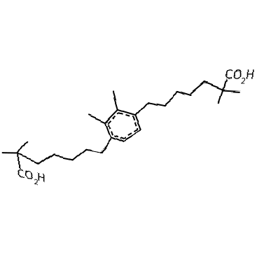 Cc1c(CCCCCC(C)(C)C(=O)O)ccc(CCCCCC(C)(C)C(=O)O)c1C